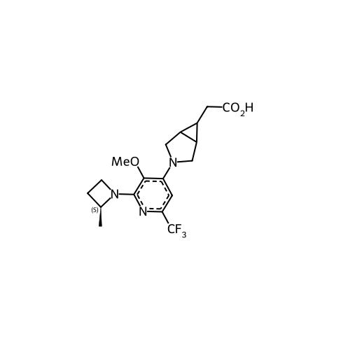 COc1c(N2CC3C(CC(=O)O)C3C2)cc(C(F)(F)F)nc1N1CC[C@@H]1C